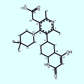 Cc1nc(C)c(C2CCC3NC(=O)C=C(O)C3C2)c(N2CCC(C)(C)CC2)c1CC(=O)O